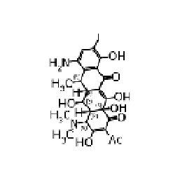 CC(=O)C1=C(O)[C@@H](N(C)C)[C@@H]2[C@@H](O)[C@H]3C(=C(O)[C@]2(O)C1=O)C(=O)c1c(O)c(I)cc(N)c1[C@@H]3C